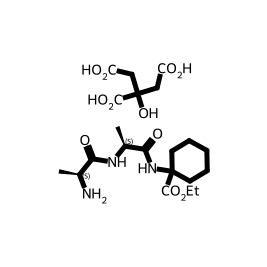 CCOC(=O)C1(NC(=O)[C@H](C)NC(=O)[C@H](C)N)CCCCC1.O=C(O)CC(O)(CC(=O)O)C(=O)O